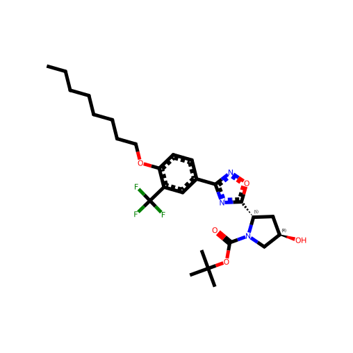 CCCCCCCCOc1ccc(-c2noc([C@@H]3C[C@@H](O)CN3C(=O)OC(C)(C)C)n2)cc1C(F)(F)F